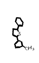 Cc1cccc(C2CCC(C3=CC=CCC3)S2)c1